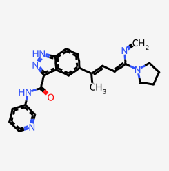 C=N/C(=C\C=C(/C)c1ccc2[nH]nc(C(=O)Nc3cccnc3)c2c1)N1CCCC1